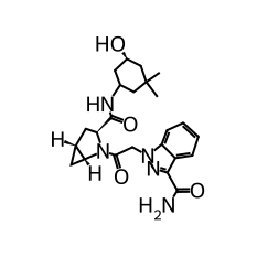 CC1(C)CC(NC(=O)[C@@H]2C[C@H]3C[C@H]3N2C(=O)Cn2nc(C(N)=O)c3ccccc32)C[C@@H](O)C1